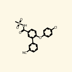 CS(=O)(=O)NC(=O)c1ccc(Oc2ccc(Cl)cc2)c(-c2cccc(C#N)c2)c1